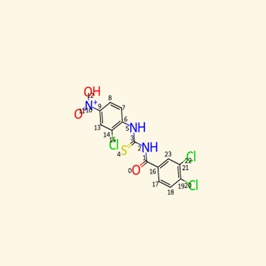 O=C(NC(=S)Nc1ccc([N+](=O)O)cc1Cl)c1ccc(Cl)c(Cl)c1